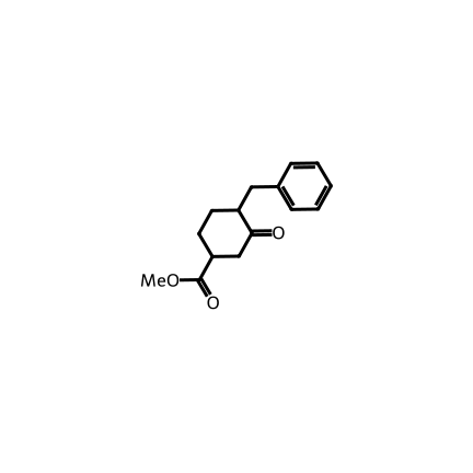 COC(=O)C1CCC(Cc2ccccc2)C(=O)C1